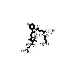 CCN(CC)CCNC(=O)c1c(C)[nH]c(/C=C2\C(=O)N(C(=O)CC[C@@H](NC(=O)CCC(=O)PC)C(=O)O)c3ccc(F)cc32)c1C